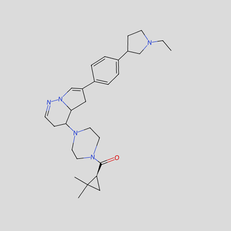 CCN1CCC(c2ccc(C3=CN4N=CCC(N5CCN(C(=O)[C@H]6CC6(C)C)CC5)C4C3)cc2)C1